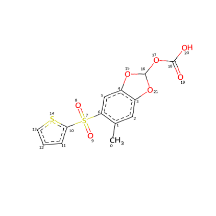 Cc1cc2c(cc1S(=O)(=O)c1cccs1)OC(OC(=O)O)O2